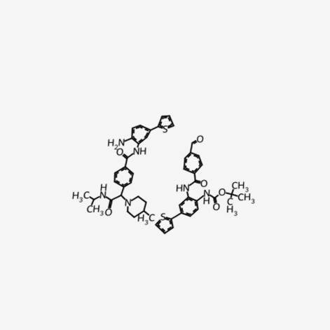 CC(C)(C)OC(=O)Nc1ccc(-c2cccs2)cc1NC(=O)c1ccc(C=O)cc1.CC1CCN(C(C(=O)NC(C)C)c2ccc(C(=O)Nc3cc(-c4cccs4)ccc3N)cc2)CC1